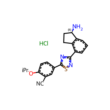 CC(C)Oc1ccc(-c2nc(-c3cccc4c3CC[C@H]4N)ns2)cc1C#N.Cl